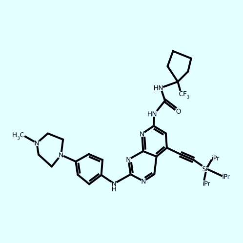 CC(C)[Si](C#Cc1cc(NC(=O)NC2(C(F)(F)F)CCCC2)nc2nc(Nc3ccc(N4CCN(C)CC4)cc3)ncc12)(C(C)C)C(C)C